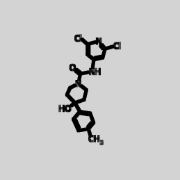 Cc1ccc(C2(O)CCN(C(=O)Nc3cc(Cl)nc(Cl)c3)CC2)cc1